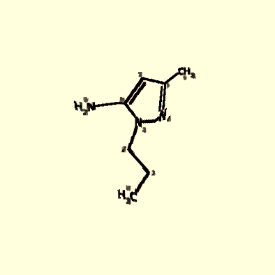 CCCn1nc(C)cc1N